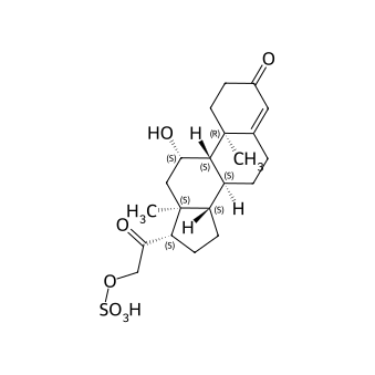 C[C@]12C[C@H](O)[C@H]3[C@@H](CCC4=CC(=O)CC[C@@]43C)[C@@H]1CC[C@@H]2C(=O)COS(=O)(=O)O